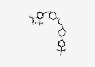 O=[N+]([O-])c1ccc(N[C@H]2CC[C@H](OCCN3CCN(c4ccc(C(F)(F)F)cc4)CC3)CC2)cc1C(F)(F)F